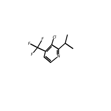 CC(C)c1nccc(C(F)(F)F)c1Cl